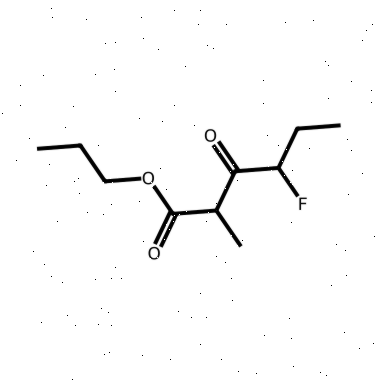 CCCOC(=O)C(C)C(=O)C(F)CC